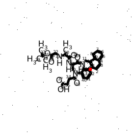 Cc1ccc2ccccc2c1CN1C(=O)[C@@H](NC(=O)[C@H](C)NCC(=O)OC(C)(C)C)CN(C(=O)CCC(=O)O)c2ccccc21